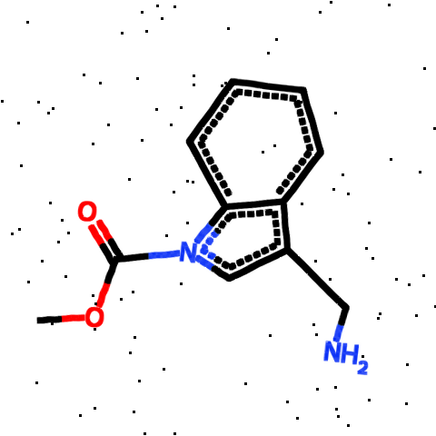 COC(=O)n1cc(CN)c2ccccc21